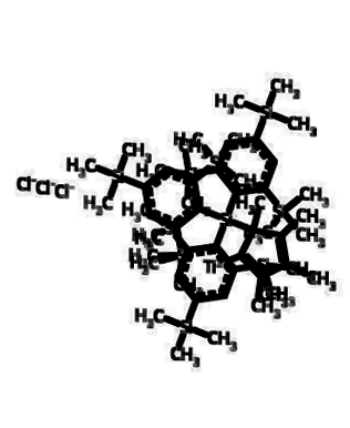 CC1=C(C)C(C)([Si](c2c([Si](C)(C)C)cc([Si](C)(C)C)cc2[Si](C)(C)C)(c2c([Si](C)(C)C)cc([Si](C)(C)C)cc2[Si](C)(C)C)c2c([Si](C)(C)C)cc([Si](C)(C)C)cc2[Si](C)(C)C)[C]([Ti+3])=C1C.[Cl-].[Cl-].[Cl-]